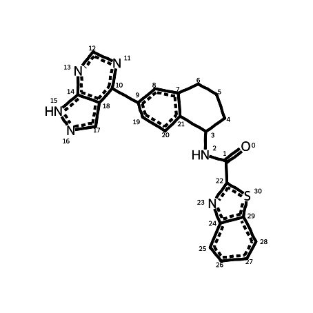 O=C(NC1CCCc2cc(-c3ncnc4[nH]ncc34)ccc21)c1nc2ccccc2s1